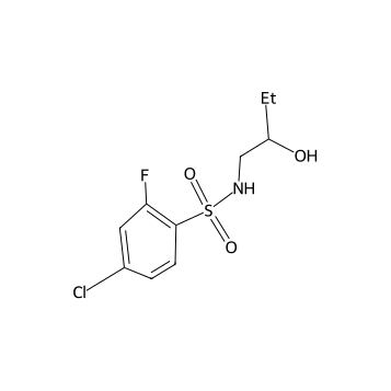 CCC(O)CNS(=O)(=O)c1ccc(Cl)cc1F